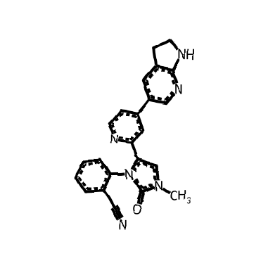 Cn1cc(-c2cc(-c3cnc4c(c3)CCN4)ccn2)n(-c2ccccc2C#N)c1=O